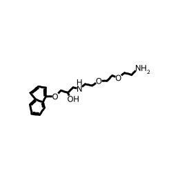 NCCOCCOCCNCC(O)COc1cccc2ccccc12